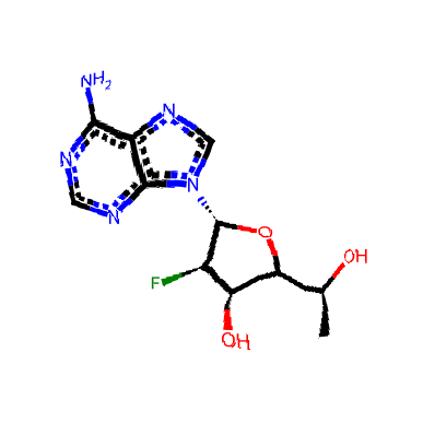 C[C@H](O)C1O[C@@H](n2cnc3c(N)ncnc32)[C@H](F)[C@@H]1O